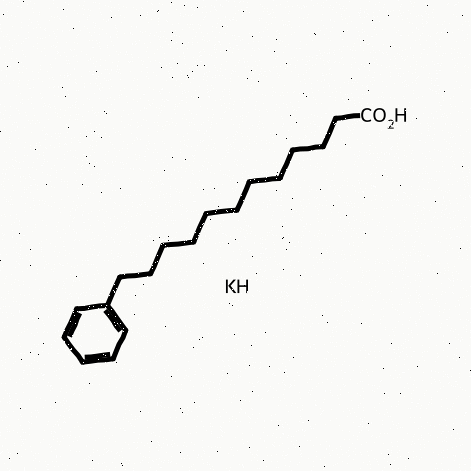 O=C(O)CCCCCCCCCCCc1ccccc1.[KH]